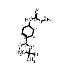 CCOB(OC(C)(C)CC)C1=CCC(NC(=O)OC(C)(C)C)CC1